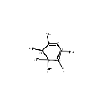 OC1=CC(F)=C(F)C(O)(F)C1F